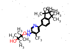 CC(C)(O)C(C)(C)ONc1cnc(-c2ccc3c(c2)C(C)(C)C(C)(C)C3(C)C)cc1C(F)(F)F